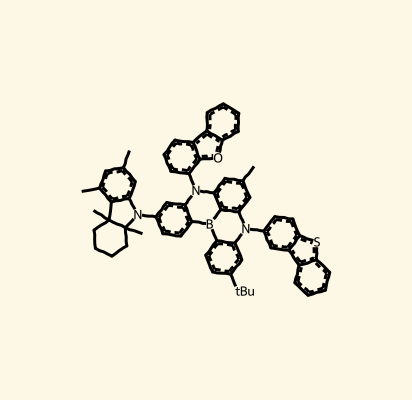 Cc1cc2c3c(c1)N(c1cccc4c1oc1ccccc14)c1cc(N4c5cc(C)cc(C)c5C5(C)CCCCC45C)ccc1B3c1ccc(C(C)(C)C)cc1N2c1ccc2sc3ccccc3c2c1